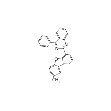 Cc1ccc2oc3c(-c4nc(-c5ccccc5)c5ccccc5n4)cccc3c2c1